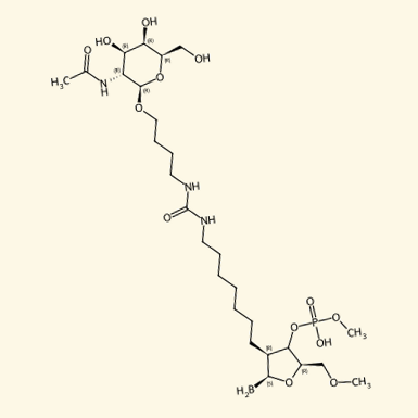 B[C@@H]1O[C@H](COC)C(OP(=O)(O)OC)[C@@H]1CCCCCCCNC(=O)NCCCCO[C@@H]1O[C@H](CO)[C@H](O)[C@H](O)[C@H]1NC(C)=O